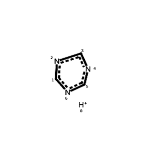 [H+].c1ncncn1